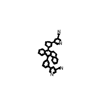 N#Cc1cncc(-c2cccc(-c3c4ccccc4c(-c4cccc(-c5cncc(C#N)c5)c4)c4c3ccc3ccccc34)c2)c1